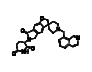 O=C1CCC(N2Cc3cc4c(cc3C2=O)OCC42CCN(Cc3cccc4ccncc34)CC2)C(=O)N1